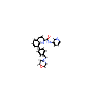 O=C(Nc1cccnc1)c1ccc2cccc(-c3ccc(CN4CCOCC4)cc3)c2n1